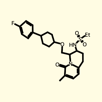 CCS(=O)(=O)NC1CCc2ccc(C)c(=O)n2C1COC1CCC(c2ccc(F)cc2)CC1